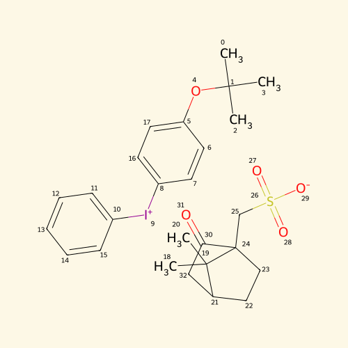 CC(C)(C)Oc1ccc([I+]c2ccccc2)cc1.CC1(C)C2CCC1(CS(=O)(=O)[O-])C(=O)C2